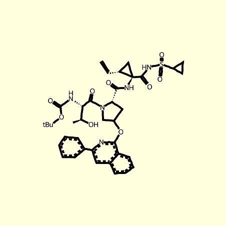 C=C[C@@H]1C[C@]1(NC(=O)[C@@H]1CC(Oc2nc(-c3ccccc3)cc3ccccc23)CN1C(=O)[C@@H](NC(=O)OC(C)(C)C)[C@H](C)O)C(=O)NS(=O)(=O)C1CC1